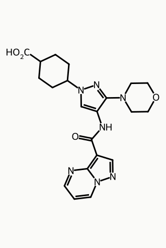 O=C(Nc1cn(C2CCC(C(=O)O)CC2)nc1N1CCOCC1)c1cnn2cccnc12